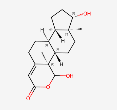 C[C@]12CC[C@H]3[C@@H](CCC4=CC(=O)OC(O)[C@@]43C)[C@@H]1CC[C@@H]2O